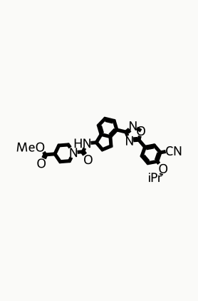 COC(=O)C1CCN(C(=O)NC2CCc3c(-c4noc(-c5ccc(OC(C)C)c(C#N)c5)n4)cccc32)CC1